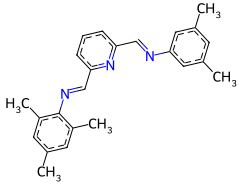 Cc1cc(C)cc(N=Cc2cccc(C=Nc3c(C)cc(C)cc3C)n2)c1